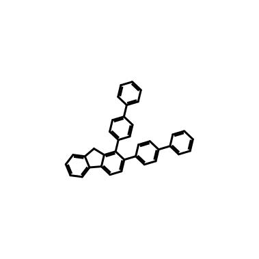 c1ccc(-c2ccc(-c3ccc4c(c3-c3ccc(-c5ccccc5)cc3)Cc3ccccc3-4)cc2)cc1